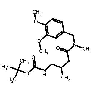 COc1ccc(CN(C)C(=O)CC(C)CNC(=O)OC(C)(C)C)cc1OC